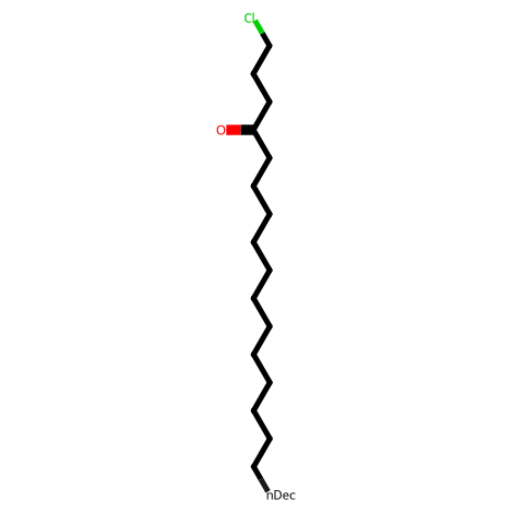 CCCCCCCCCCCCCCCCCCCCCCC(=O)CCCCl